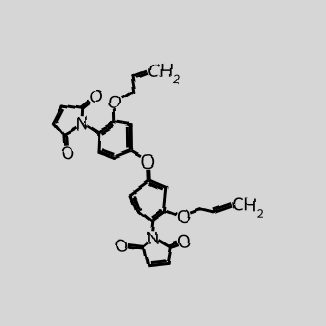 C=CCOc1cc(Oc2ccc(N3C(=O)C=CC3=O)c(OCC=C)c2)ccc1N1C(=O)C=CC1=O